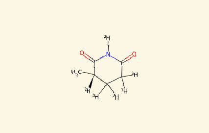 [2H]N1C(=O)C([2H])([2H])C([2H])([2H])[C@]([2H])(C)C1=O